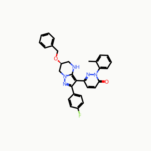 Cc1ccccc1-n1nc(-c2c(-c3ccc(F)cc3)nn3c2NC[C@H](OCc2ccccc2)C3)ccc1=O